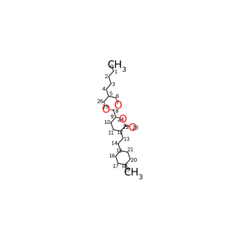 CCCCCC1COC(C2CCC(CCC3CCC(C)CC3)C(=O)O2)OC1